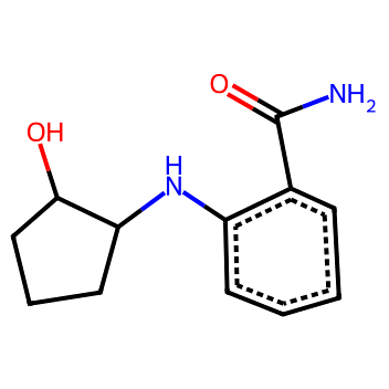 NC(=O)c1ccccc1NC1CCCC1O